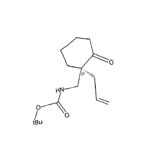 C=CC[C@]1(CNC(=O)OC(C)(C)C)CCCCC1=O